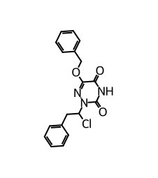 O=c1[nH]c(=O)n(C(Cl)Cc2ccccc2)nc1OCc1ccccc1